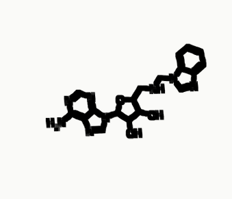 Nc1ncnc2c1ncn2C1OC(CNCn2cnc3ccccc32)C(O)C1O